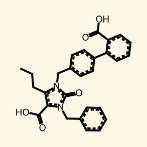 CCCc1c(C(=O)O)n(Cc2ccccc2)c(=O)n1Cc1ccc(-c2ccccc2C(=O)O)cc1